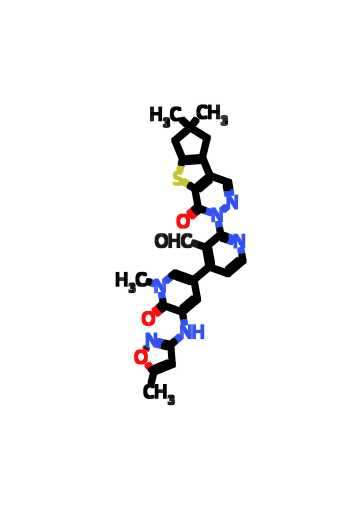 Cc1cc(Nc2cc(-c3ccnc(-n4ncc5c6c(sc5c4=O)CC(C)(C)C6)c3C=O)cn(C)c2=O)no1